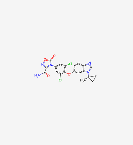 CC1(n2cnc3ccc(Oc4c(Cl)cc(-n5c(C(N)=O)noc5=O)cc4Cl)cc32)CC1